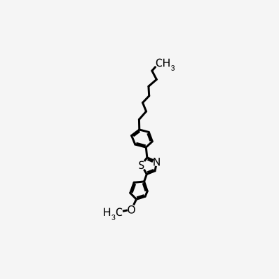 CCCCCCCCc1ccc(-c2ncc(-c3ccc(OC)cc3)s2)cc1